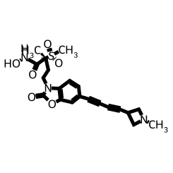 CN1CC(C#CC#Cc2ccc3c(c2)oc(=O)n3CC[C@](C)(C(=O)NO)S(C)(=O)=O)C1